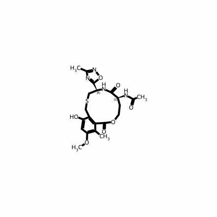 COc1cc(O)c2c(c1C)C(=O)OCC[C@H](NC(C)=O)C(=O)N[C@H](c1nc(C)no1)CSC2